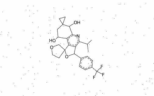 CC(C)c1nc2c(c3c1C(c1ccc(C(F)(F)F)cc1)OC31CCOC1)C(O)CC1(CC1)C2O